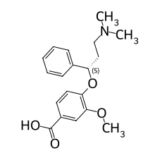 COc1cc(C(=O)O)ccc1O[C@@H](CCN(C)C)c1ccccc1